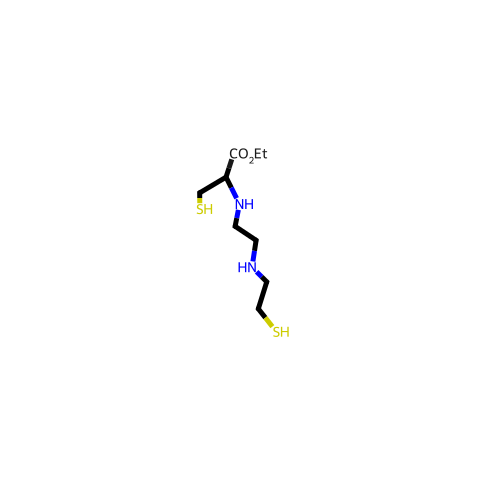 CCOC(=O)C(CS)NCCNCCS